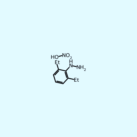 CCc1cccc(CC)c1NN.O=[N+]([O-])O